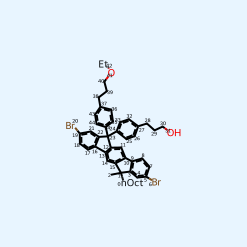 CCCCCCCCC1(C)c2cc(Br)ccc2-c2cc3c(cc21)-c1ccc(Br)cc1C3(c1ccc(CCCO)cc1)c1ccc(CCCOCC)cc1